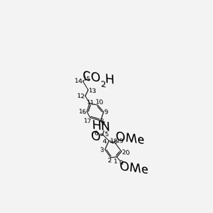 COc1ccc(C(=O)Nc2ccc(CCCC(=O)O)cc2)c(OC)c1